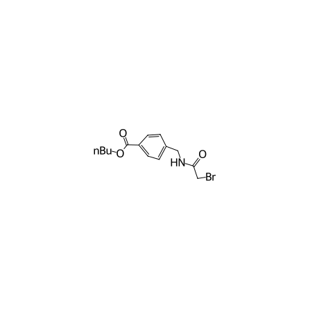 CCCCOC(=O)c1ccc(CNC(=O)CBr)cc1